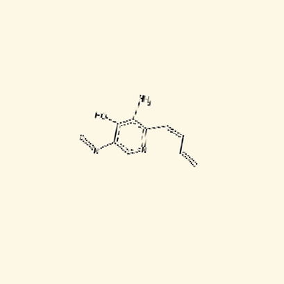 C=C/C=C\c1ncc(N=O)c(O)c1N